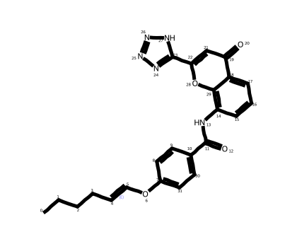 CCCC/C=C/Oc1ccc(C(=O)Nc2cccc3c(=O)cc(-c4nnn[nH]4)oc23)cc1